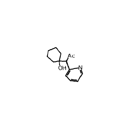 CC(=O)C(c1ccccn1)C1(O)CCCCC1